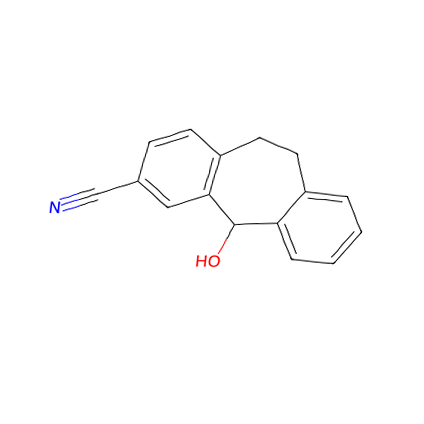 N#Cc1ccc2c(c1)C(O)c1ccccc1CC2